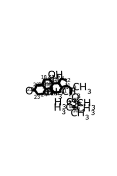 C[C@H](CO[Si](C)(C)C(C)(C)C)[C@H]1CC[C@H]2[C@@H]3[C@H](O)CC4=CC(=O)CC[C@]4(C)[C@H]3CC[C@]12C